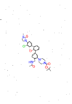 COc1c(-c2ccc(N3CCN(C)C3=O)c(Cl)c2)cccc1-c1ccc(CNC(C)=O)c(N2CCN(C(=O)OC(C)(C)C)CC2)c1